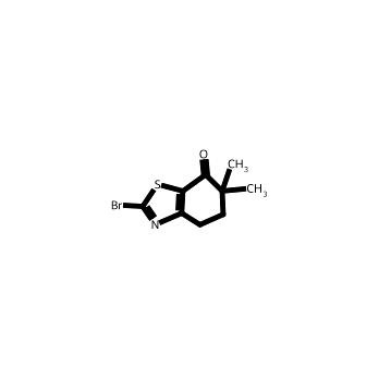 CC1(C)CCc2nc(Br)sc2C1=O